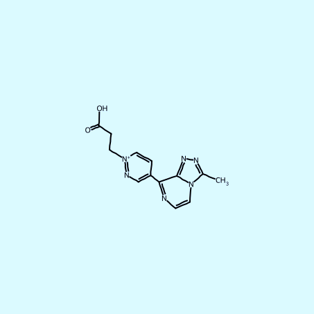 Cc1nnc2c(-c3cc[n+](CCC(=O)O)nc3)nccn12